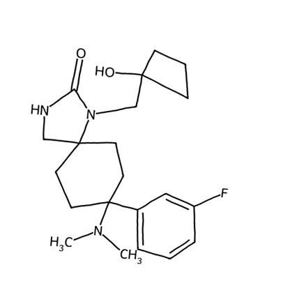 CN(C)C1(c2cccc(F)c2)CCC2(CC1)CNC(=O)N2CC1(O)CCC1